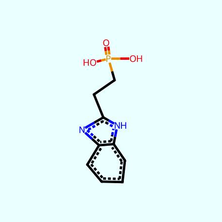 O=P(O)(O)CCc1nc2ccccc2[nH]1